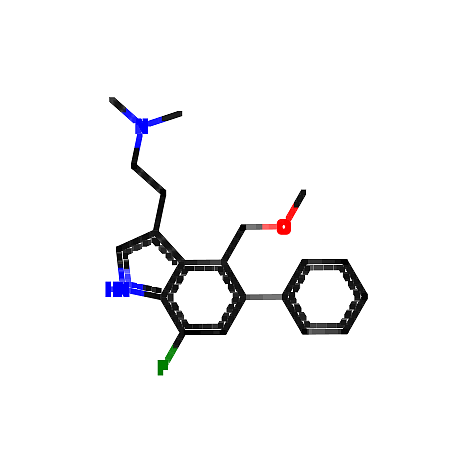 COCc1c(-c2ccccc2)cc(F)c2[nH]cc(CCN(C)C)c12